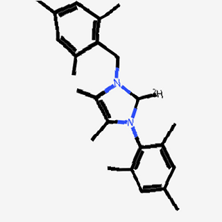 [2H]C1N(Cc2c(C)cc(C)cc2C)C(C)=C(C)N1c1c(C)cc(C)cc1C